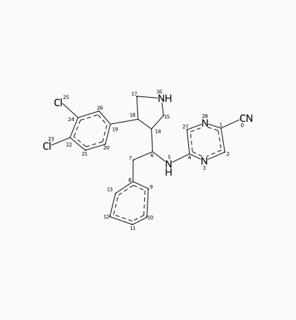 N#Cc1cnc(NC(Cc2ccccc2)C2CNCC2c2ccc(Cl)c(Cl)c2)cn1